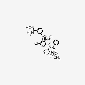 CS(=O)(=O)N[C@H]1CCCC[C@@H]1N1C(=O)c2ccccc2[C@@H](C(=O)NOCc2cccc(/C(N)=N/O)c2)[C@@H]1c1ccc(Cl)cc1